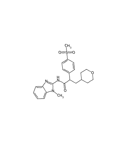 Cn1c(NC(=O)C(CC2CCOCC2)c2ccc(S(C)(=O)=O)cc2)nc2ccccc21